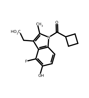 Cc1c(CC(=O)O)c2c(F)c(O)ccc2n1C(=O)C1CCC1